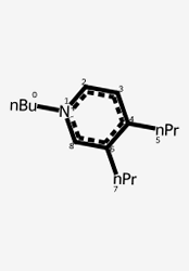 CCCC[n+]1ccc(CCC)c(CCC)c1